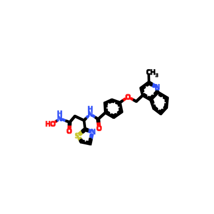 Cc1cc(COc2ccc(C(=O)NC(CC(=O)NO)c3nccs3)cc2)c2ccccc2n1